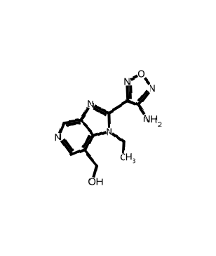 CCn1c(-c2nonc2N)nc2cncc(CO)c21